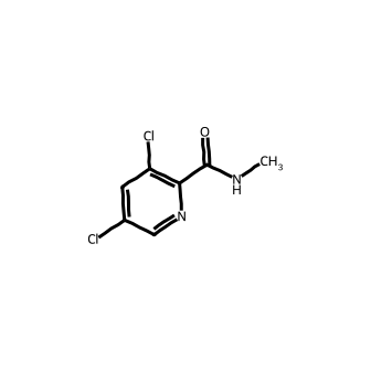 CNC(=O)c1ncc(Cl)cc1Cl